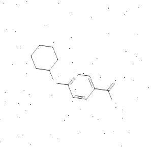 O=C(O)c1ccc(OC2CCCCC2)nc1